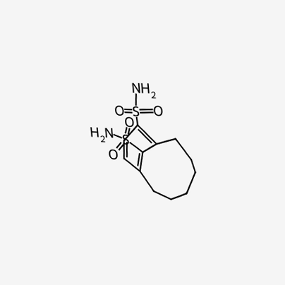 NS(=O)(=O)c1ccc2c(S(N)(=O)=O)c1CCCCCC2